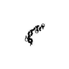 CCN(CCCN1CCN(c2noc3cc(F)ccc23)CC1)[S+]([O-])C(C)CN=O